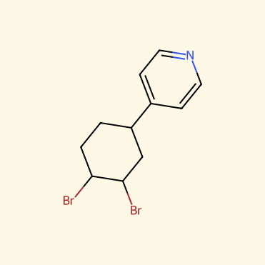 BrC1CCC(c2ccncc2)CC1Br